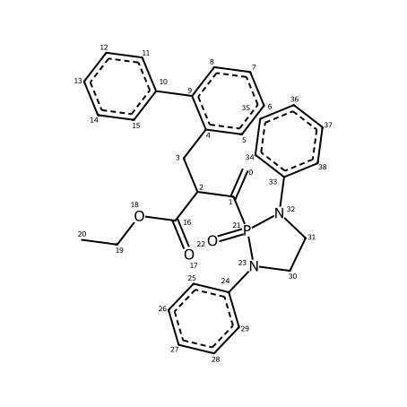 C=C(C(Cc1ccccc1-c1ccccc1)C(=O)OCC)P1(=O)N(c2ccccc2)CCN1c1ccccc1